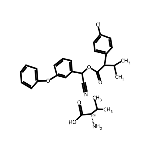 CC(C)C(C(=O)OC(C#N)c1cccc(Oc2ccccc2)c1)c1ccc(Cl)cc1.CC(C)[C@H](N)C(=O)O